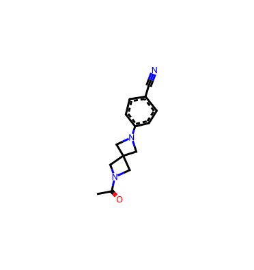 CC(=O)N1CC2(C1)CN(c1ccc(C#N)cc1)C2